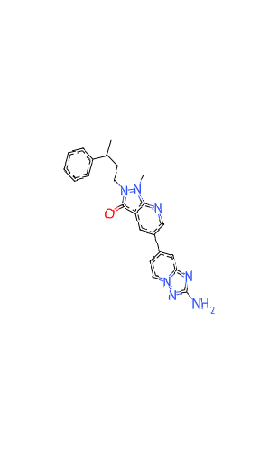 CC(CCn1c(=O)c2cc(-c3ccn4nc(N)nc4c3)cnc2n1C)c1ccccc1